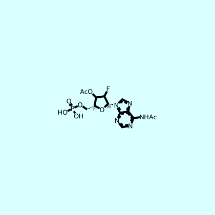 CC(=O)Nc1ncnc2c1ncn2[C@@H]1O[C@H](COP(=O)(O)O)C(OC(C)=O)C1F